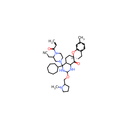 C=CC(=O)N1CCN(C2(C3CCCCCC3)NC(OCC3CCCN3C)NC3C(=O)[C@@]4(CCc5ccc(C)cc5O4)CCC32)CC1CC#N